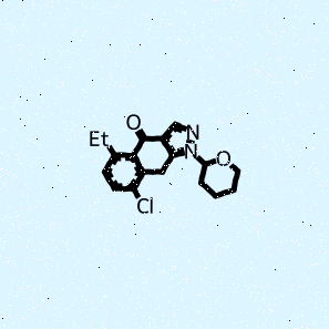 CCc1ccc(Cl)c2c1C(=O)c1cnn(C3CCCCO3)c1C2